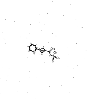 O=S(=O)(Cl)CC(O)C12CC(c3ccccn3)(C1)C2